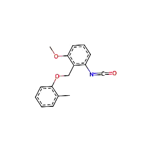 COc1cccc(N=C=O)c1COc1ccccc1C